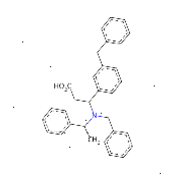 CC(c1ccccc1)N(Cc1ccccc1)C(CC(=O)O)c1cccc(Cc2ccccc2)c1